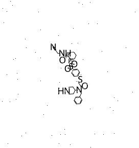 N#CCNC(=O)[C@@H]1CCCC[C@H]1CS(=O)(=O)c1ccc(SCC(=O)N(Cc2ccccc2)C2CCNCC2)cc1